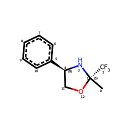 C[C@]1(C(F)(F)F)N[C@H](c2ccccc2)CO1